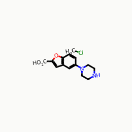 CCl.O=C(O)c1cc2cc(N3CCNCC3)ccc2o1